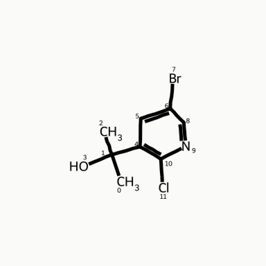 CC(C)(O)c1cc(Br)cnc1Cl